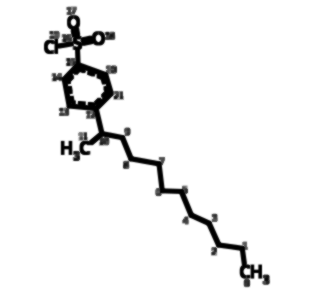 CCCCCCCCCCC(C)c1ccc(S(=O)(=O)Cl)cc1